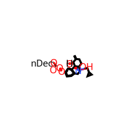 C=C1CC[C@@]2(O)C3Cc4ccc(OOC(=O)OCCCCCCCCCC)c5c4[C@@]2(CCN3CC2CC2)[C@H]1O5